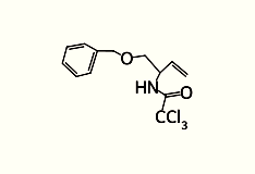 C=CC(COCc1ccccc1)NC(=O)C(Cl)(Cl)Cl